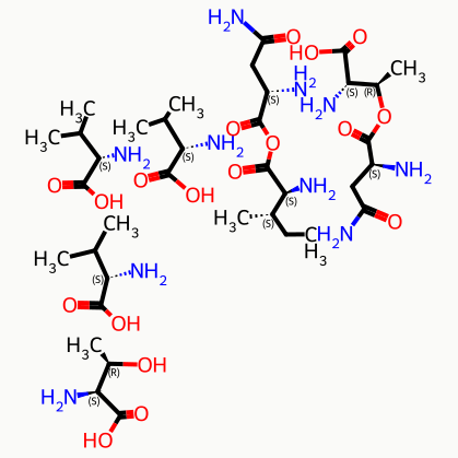 CC(C)[C@H](N)C(=O)O.CC(C)[C@H](N)C(=O)O.CC(C)[C@H](N)C(=O)O.CC[C@H](C)[C@H](N)C(=O)OC(=O)[C@@H](N)CC(N)=O.C[C@@H](O)[C@H](N)C(=O)O.C[C@@H](OC(=O)[C@@H](N)CC(N)=O)[C@H](N)C(=O)O